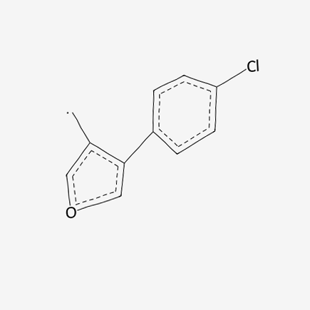 [CH2]c1cocc1-c1ccc(Cl)cc1